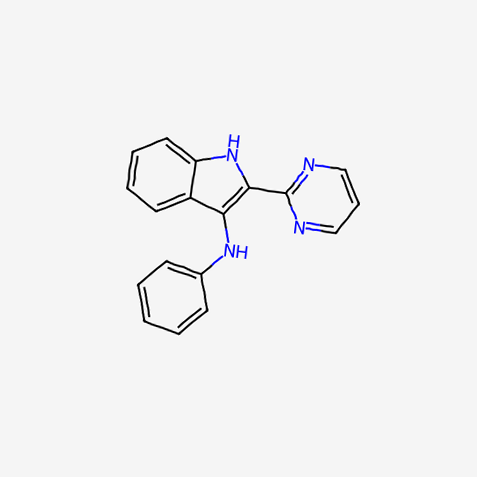 c1ccc(Nc2c(-c3ncccn3)[nH]c3ccccc23)cc1